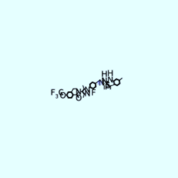 Cc1ccc(C(C)C)c(NC(=S)N/N=C/c2ccc(-n3nc(C)c(N4CCc5cc(OC(F)(F)F)ccc5C4=O)c3C)c(F)c2)c1